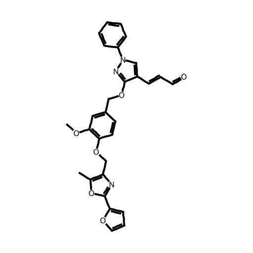 COc1cc(COc2nn(-c3ccccc3)cc2/C=C/C=O)ccc1OCc1nc(-c2ccco2)oc1C